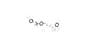 Cc1ccc(C(C)C)c(N2C(=O)CS/C2=N\C(=S)N/N=C/c2ccc(-c3ncn(-c4ccc(OC(F)(F)F)cc4)n3)cc2C)c1